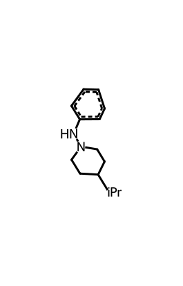 CC(C)C1CCN(Nc2ccccc2)CC1